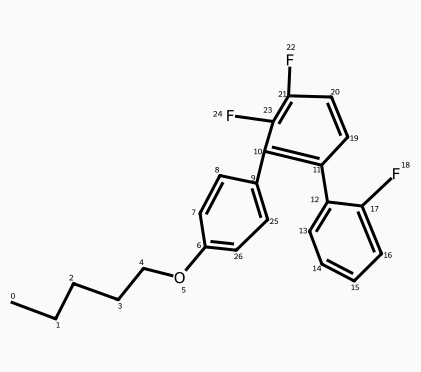 CCCCCOc1ccc(-c2c(-c3ccccc3F)ccc(F)c2F)cc1